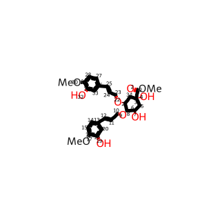 COC(=O)[C@@]1(O)C[C@@H](O)[C@H](OC/C=C/c2ccc(OC)c(O)c2)[C@H](OC/C=C/c2ccc(OC)c(O)c2)C1